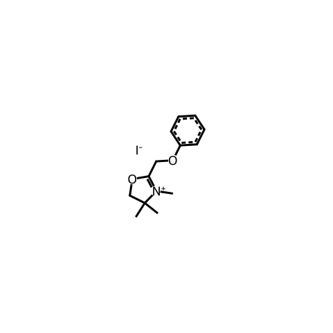 C[N+]1=C(COc2ccccc2)OCC1(C)C.[I-]